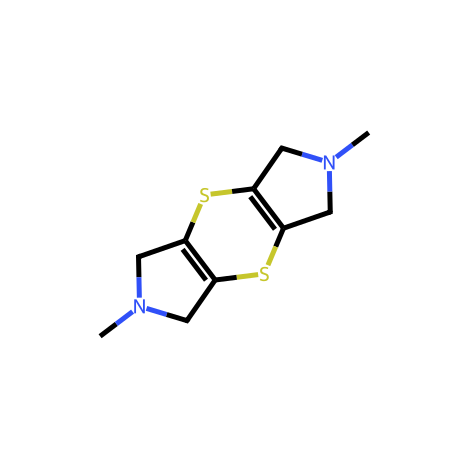 CN1CC2=C(C1)SC1=C(CN(C)C1)S2